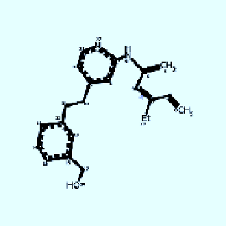 C=C/C(=C\C(=C)Nc1cc(CCc2cccc(CO)c2)ccn1)CC